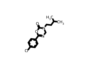 CC(C)CCN1CN=C(c2ccc(Cl)cc2)OC1=O